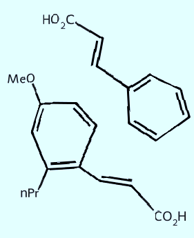 CCCc1cc(OC)ccc1C=CC(=O)O.O=C(O)C=Cc1ccccc1